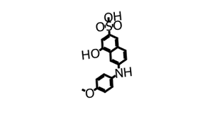 COc1ccc(Nc2ccc3cc(S(=O)(=O)O)cc(O)c3c2)cc1